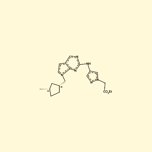 CCOC(=O)Cn1cc(Nc2ncc3ccn(C[C@@H]4CC[C@H](C)C4)c3n2)cn1